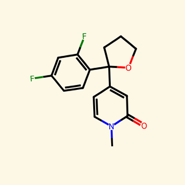 Cn1ccc(C2(c3ccc(F)cc3F)CCCO2)cc1=O